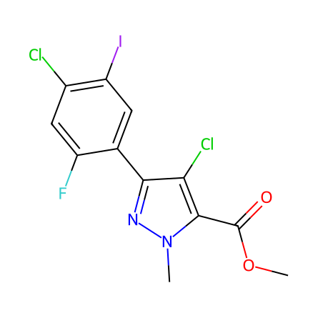 COC(=O)c1c(Cl)c(-c2cc(I)c(Cl)cc2F)nn1C